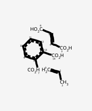 C=CC.O=C(O)C=CC(=O)O.O=C(O)c1ccccc1C(=O)O